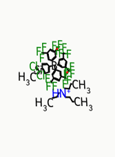 CCCC[NH+](CCCC)CCCC.CC[Si](Cl)(Cl)c1ccc([B-](c2cc(C(F)(F)F)cc(C(F)(F)F)c2)(c2cc(C(F)(F)F)cc(C(F)(F)F)c2)c2cc(C(F)(F)F)cc(C(F)(F)F)c2)cc1